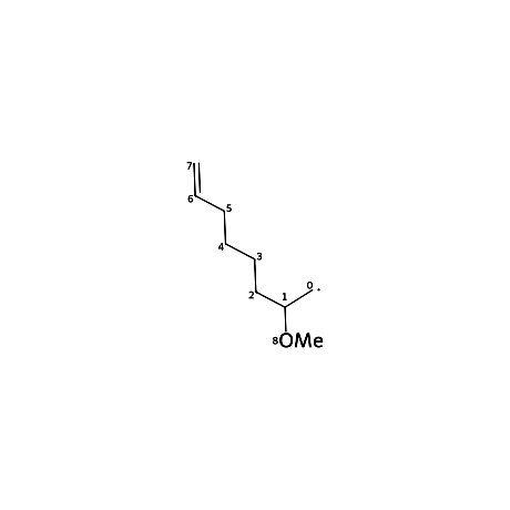 [CH2]C(CCCCC=C)OC